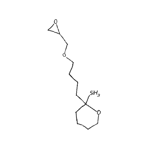 [SiH3]C1(CCCCOCC2CO2)CCCCO1